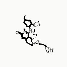 Cc1ccc(Nc2c3c(cc(=O)n2C)CCN(OCCO)C3=O)c(Cl)c1